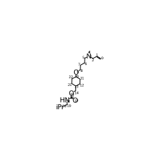 C=CCN(C)CCCCOC1CCC(COC(=O)NCC(C)C)CC1